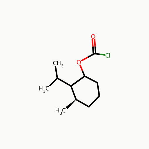 CC(C)C1C(OC(=O)Cl)CCC[C@H]1C